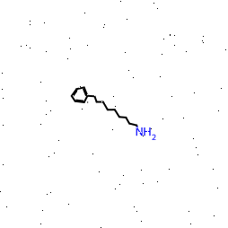 NCCCCCCCCCc1[c]cccc1